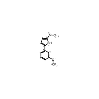 COc1cccc(-c2ccc(SC)[nH]2)c1